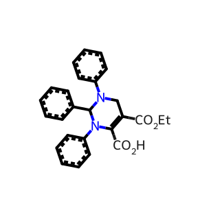 CCOC(=O)C1=C(C(=O)O)N(c2ccccc2)C(c2ccccc2)N(c2ccccc2)C1